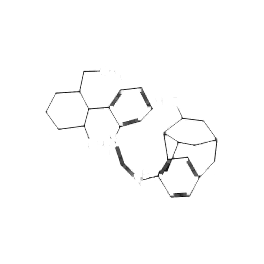 CCC1CCCC(C)C1c1ccccc1N=C=Nc1ccc2cc1C1C(C)CC(C2)CC1CC